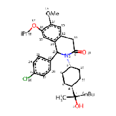 CCCCC(C)(O)[C@H]1CC[C@H](N2C(=O)Cc3cc(OC)c(OC(C)C)cc3C2c2ccc(Cl)cc2)CC1